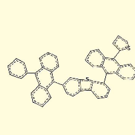 c1ccc(-c2c3ccccc3c(-c3ccc4c(c3)sc3c(-c5c6ccccc6c(-c6cccs6)c6ccccc56)cccc34)c3ccccc23)cc1